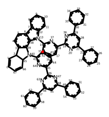 C1=CC2c3ccc4c5ccccc5n(-c5cccc(-c6nc(-c7ccccc7)cc(-c7ccccc7)n6)n5)c4c3N(c3cccc(-c4nc(-c5ccccc5)cc(-c5ccccc5)n4)n3)C2C=C1